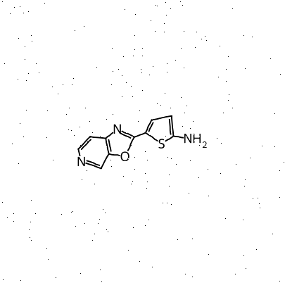 Nc1ccc(-c2nc3ccncc3o2)s1